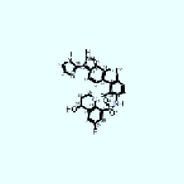 O=S(=O)(Nc1ccc(F)c(-c2ccc3c(-c4ncc[nH]4)[nH]nc3c2F)c1F)c1cc(F)cc2c1OCCC2O